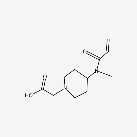 C=CC(=O)N(C)C1CCN(CC(=O)O)CC1